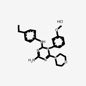 CCc1ccc(NC2N=C(N)N=C(N3CCOCC3)N2c2cccc(OC)c2)cc1.Cl